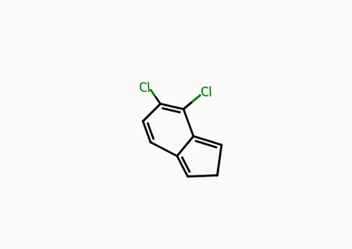 Clc1ccc2c(c1Cl)=CCC=2